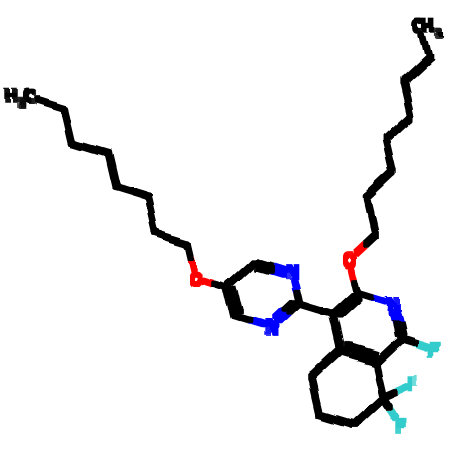 CCCCCCCCOc1cnc(-c2c(OCCCCCCCC)nc(F)c3c2CCCC3(F)F)nc1